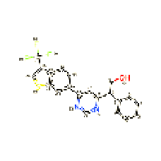 OCC(c1ccccc1)c1cc(-c2ccc3c(C(F)(F)F)csc3c2)ncn1